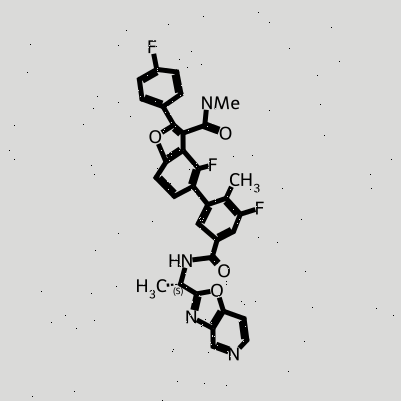 CNC(=O)c1c(-c2ccc(F)cc2)oc2ccc(-c3cc(C(=O)N[C@@H](C)c4nc5cnccc5o4)cc(F)c3C)c(F)c12